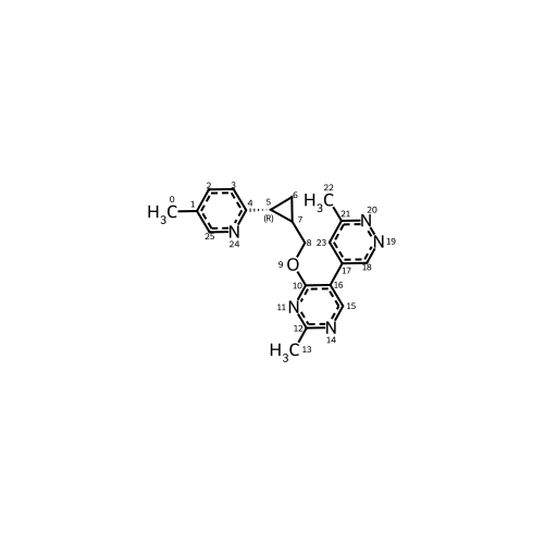 Cc1ccc([C@@H]2CC2COc2nc(C)ncc2-c2cnnc(C)c2)nc1